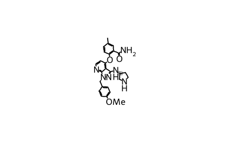 COc1ccc(Cn2nc(N[C@@H]3CCNC3)c3c(Oc4ccc(C)cc4C(N)=O)ccnc32)cc1